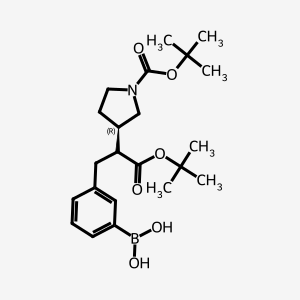 CC(C)(C)OC(=O)C(Cc1cccc(B(O)O)c1)[C@H]1CCN(C(=O)OC(C)(C)C)C1